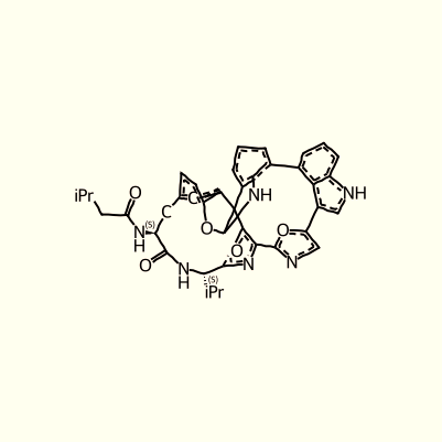 CC(C)CC(=O)N[C@H]1Cc2ccc3c(c2)C24c5cccc(c5NC2O3)-c2cccc3[nH]cc(c23)-c2cnc(o2)-c2nc(oc24)[C@H](C(C)C)NC1=O